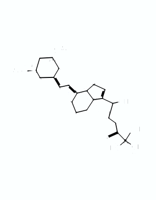 CC(=O)O[C@@H]1CC(=C/C=C2\CCC[C@]3(C)C(C(C)CCC(=O)C(C)(C)O)=CCC23)C[C@@H](OC(C)=O)C1